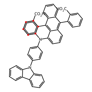 O=C(O)c1ccccc1-c1c2ccccc2c(-c2ccccc2C(=O)O)c2c(N(c3ccccc3)c3ccc(-n4c5ccccc5c5ccccc54)cc3)cccc12